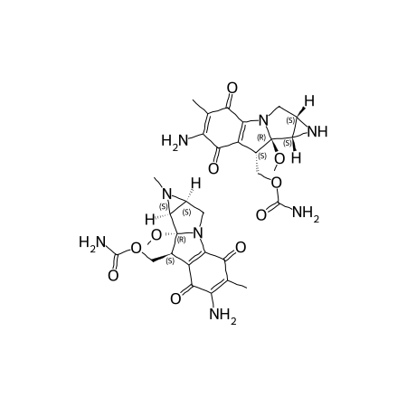 CO[C@@]12[C@H](COC(N)=O)C3=C(C(=O)C(C)=C(N)C3=O)N1C[C@@H]1N[C@@H]12.CO[C@@]12[C@H](COC(N)=O)C3=C(C(=O)C(C)=C(N)C3=O)N1C[C@H]1[C@@H]2N1C